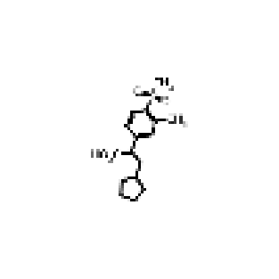 Cc1cc(C(CC2CCCC2)C(=O)O)ccc1S(C)(=O)=O